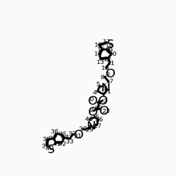 O=C(O[C@H]1CCN(CCOCCc2ccc3ccsc3c2)C1)C(=O)O[C@H]1CCN(CCOCCc2ccc3ccsc3c2)C1